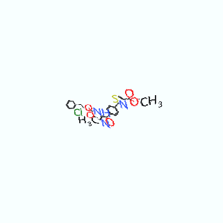 CCOC(=O)c1csc(-c2ccc(-c3onc(C)c3NC(=O)OCCc3ccccc3Cl)cc2)n1